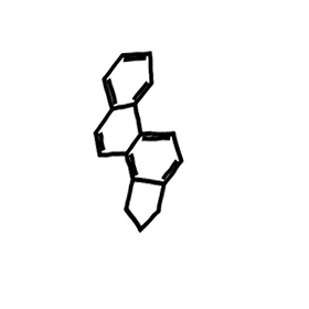 c1ccc2c(c1)ccc1c3c(ccc12)CCC3